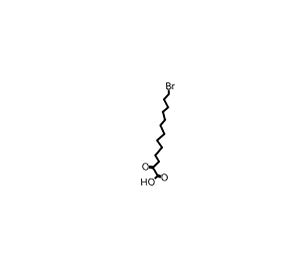 O=C(O)C(=O)CCCCCCCCCCCBr